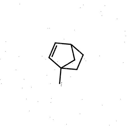 [C]C12C=CC(CC1)C2